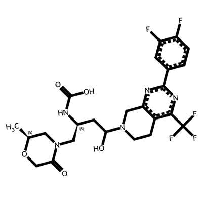 C[C@H]1CN(C[C@H](CC(O)N2CCc3c(nc(-c4ccc(F)c(F)c4)nc3C(F)(F)F)C2)NC(=O)O)C(=O)CO1